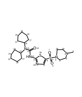 CN1CCN(S(=O)(=O)c2cnc(NC(=O)N(C3CCCCC3)C3CCCCC3)s2)CC1